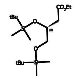 CCOC(=O)C[C@H](CO[Si](C)(C)C(C)(C)C)O[Si](C)(C)C(C)(C)C